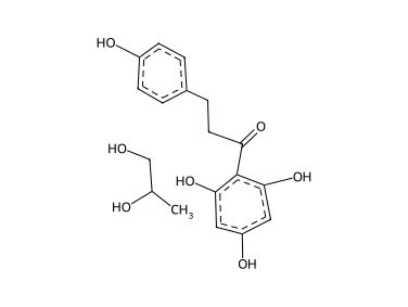 CC(O)CO.O=C(CCc1ccc(O)cc1)c1c(O)cc(O)cc1O